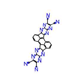 N#Cc1nc2nc3c4cccc5c4c(c4cccc6c7nc8nc(C#N)c(C#N)nc8nc7c5c64)c3nc2nc1C#N